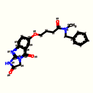 CN(Cc1ccccc1)C(=O)CCCOc1ccc2nc3n(c(=O)c2c1)CC(=O)N3